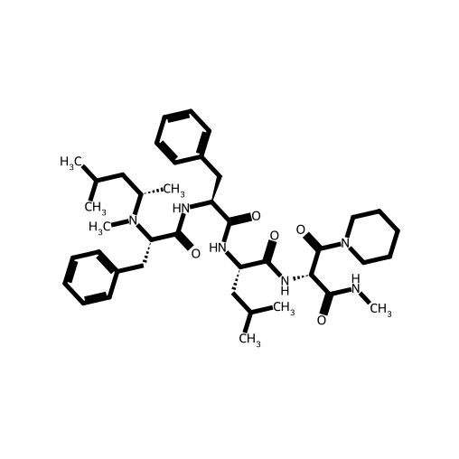 CNC(=O)[C@H](NC(=O)[C@H](CC(C)C)NC(=O)[C@H](Cc1ccccc1)NC(=O)[C@H](Cc1ccccc1)N(C)[C@@H](C)CC(C)C)C(=O)N1CCCCC1